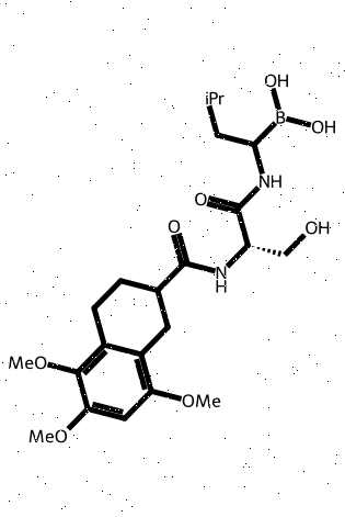 COc1cc(OC)c(OC)c2c1CC(C(=O)N[C@@H](CO)C(=O)NC(CC(C)C)B(O)O)CC2